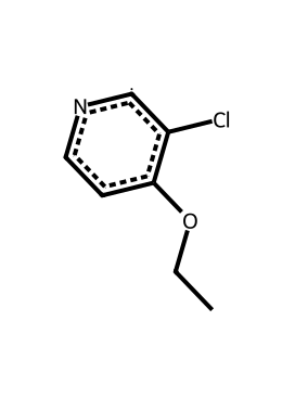 CCOc1ccn[c]c1Cl